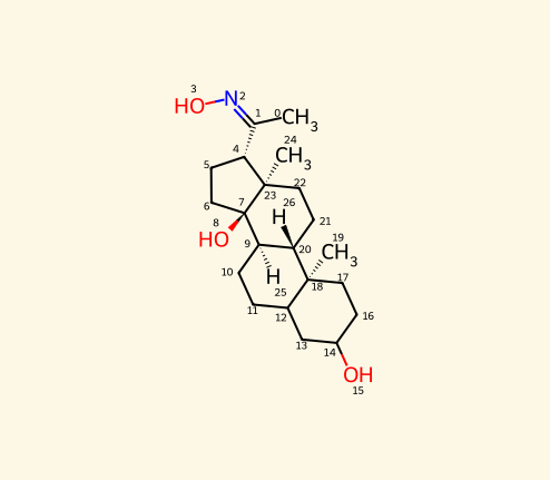 C/C(=N/O)[C@H]1CC[C@@]2(O)[C@@H]3CCC4CC(O)CC[C@]4(C)[C@H]3CC[C@]12C